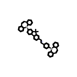 CC1(C)c2cc(/C=C/c3ccc(N4c5ccccc5C=Cc5ccccc54)cc3)ccc2-c2ccc(N3c4ccccc4C=Cc4ccccc43)cc21